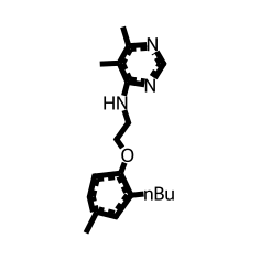 CCCCc1cc(C)ccc1OCCNc1ncnc(C)c1C